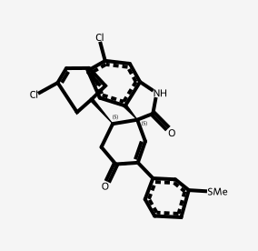 CSc1cccc(C2=C[C@@]3(C(=O)Nc4cc(Cl)ccc43)[C@H](C3C=CC=C(Cl)C3)CC2=O)c1